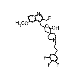 COc1ccc2ncc(CF)c(CCCC3(C(=O)O)CCN(CCCc4cc(F)c(F)c(F)c4)CC3)c2c1